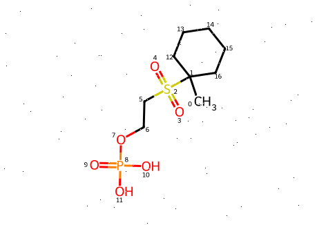 CC1(S(=O)(=O)CCOP(=O)(O)O)CCCCC1